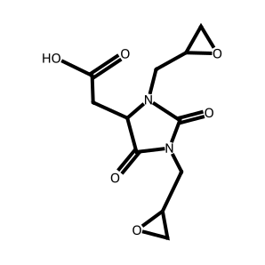 O=C(O)CC1C(=O)N(CC2CO2)C(=O)N1CC1CO1